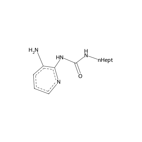 CCCCCCCNC(=O)Nc1ncccc1N